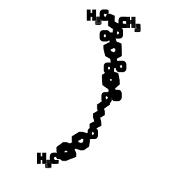 CCCC(C)OC(=O)C1CCC(C(=O)Oc2ccc(C(=O)OCCCCCCOC3CCC(c4ccc(C)cc4)CC3)cc2)CC1